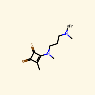 CCCN(C)CCCN(C)c1c(C)c(=S)c1=S